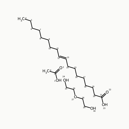 CC(=O)O.CCCCCCCCC=CCCCCCCCC(=O)O.OCCOCCO